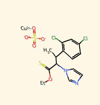 CCOC(=S)C(C(C)c1ccc(Cl)cc1Cl)n1ccnc1.O=S(=O)([O-])[O-].[Cu+2]